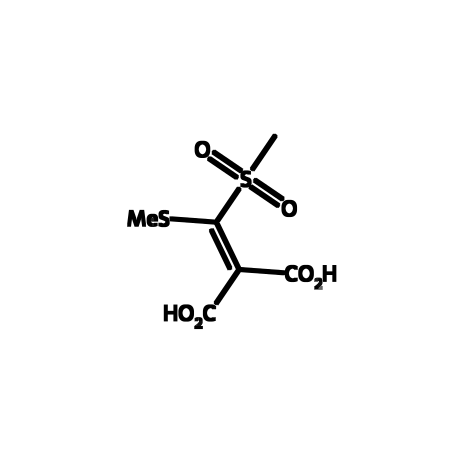 CSC(=C(C(=O)O)C(=O)O)S(C)(=O)=O